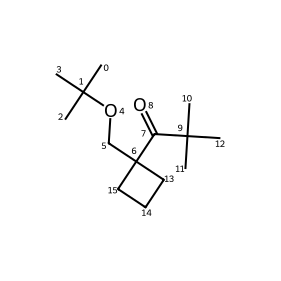 CC(C)(C)OCC1(C(=O)C(C)(C)C)CCC1